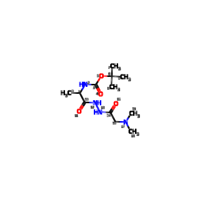 CC(NC(=O)OC(C)(C)C)C(=O)NNC(=O)CN(C)C